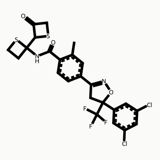 Cc1cc(C2=NOC(c3cc(Cl)cc(Cl)c3)(C(F)(F)F)C2)ccc1C(=O)NC1(C2SCC2=O)CCS1